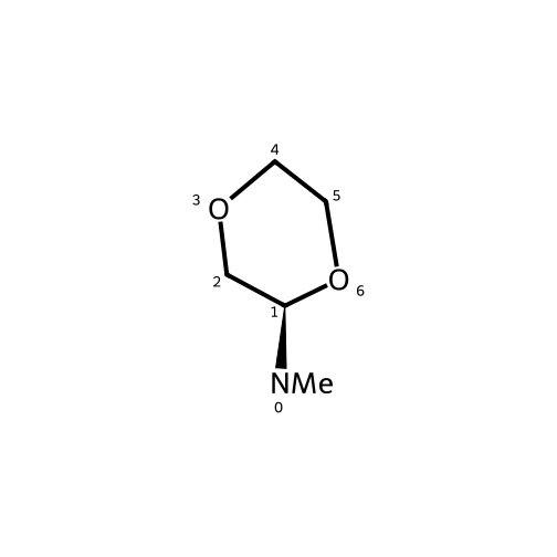 CN[C@H]1COCCO1